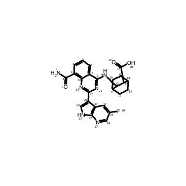 NC(=O)c1cccc2c(NC3C4CCC(CC4)C3C(=O)O)nc(-c3c[nH]c4ncc(F)cc34)nc12